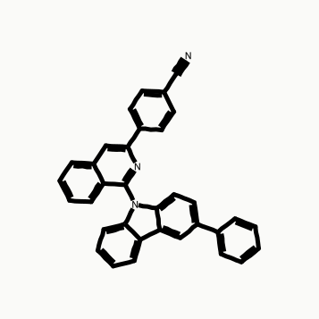 N#Cc1ccc(-c2cc3ccccc3c(-n3c4ccccc4c4cc(-c5ccccc5)ccc43)n2)cc1